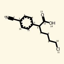 N#Cc1ccc(C(CCCCCl)C(=O)O)cc1